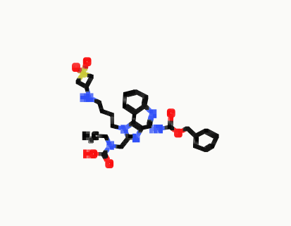 CCN(Cc1nc2c(NC(=O)OCc3ccccc3)nc3ccccc3c2n1CCCCNC1CS(=O)(=O)C1)C(=O)O